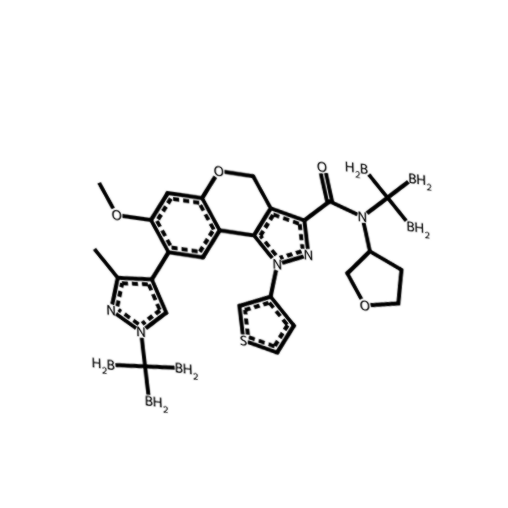 BC(B)(B)N(C(=O)c1nn(-c2ccsc2)c2c1COc1cc(OC)c(-c3cn(C(B)(B)B)nc3C)cc1-2)C1CCOC1